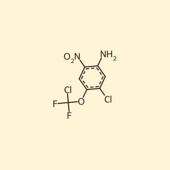 Nc1cc(Cl)c(OC(F)(F)Cl)cc1[N+](=O)[O-]